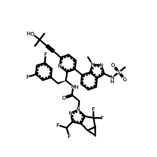 Cn1nc(NS(C)(=O)=O)c2cccc(-c3ccc(C#CC(C)(C)O)nc3[C@H](Cc3cc(F)cc(F)c3)NC(=O)Cn3nc(C(F)F)c4c3C(F)(F)C3CC43)c21